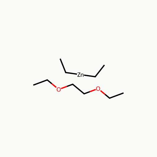 CCOCCOCC.C[CH2][Zn][CH2]C